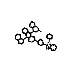 CC1C=C(c2c3ccccc3c(-c3cccc4ccccc34)c3ccc(-c4ccc(-c5nc6ccccc6n5-c5ccccc5)cc4)cc23)c2ccccc2C1